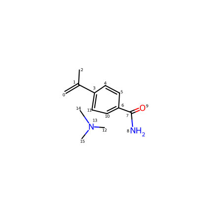 C=C(C)c1ccc(C(N)=O)cc1.CN(C)C